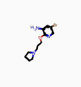 Nc1cc(Br)cnc1OCCCN1CCCC1